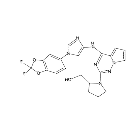 OCC1CCCN1c1nc(Nc2cn(-c3ccc4c(c3)OC(F)(F)O4)cn2)c2cccn2n1